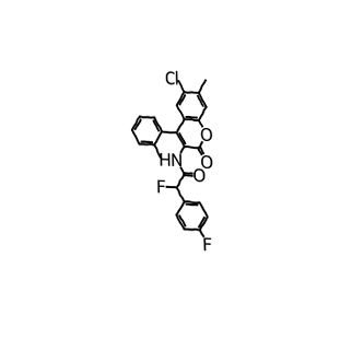 Cc1cc2oc(=O)c(NC(=O)C(F)c3ccc(F)cc3)c(-c3ccccc3C)c2cc1Cl